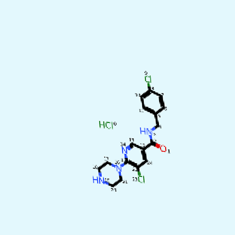 Cl.O=C(NCc1ccc(Cl)cc1)c1cnc(N2CCNCC2)c(Cl)c1